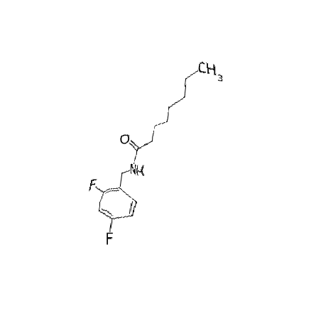 CCCCCCCC(=O)NCc1ccc(F)cc1F